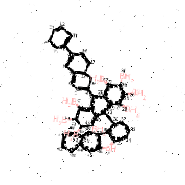 BC1=c2c(C3=CC=C4C=C(C5=CC=CCC5)C=CC4C3)c3c(B)c(B)c(B)c(B)c3c(-c3cccc4c3-c3cc5ccccc5cc3B4)c2=C(B)C(B)C1B